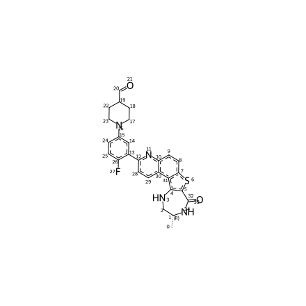 C[C@@H]1CNc2c(sc3ccc4nc(-c5cc(N6CCC(C=O)CC6)ccc5F)ccc4c23)C(=O)N1